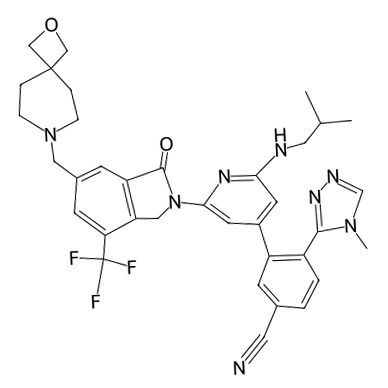 CC(C)CNc1cc(-c2cc(C#N)ccc2-c2nncn2C)cc(N2Cc3c(cc(CN4CCC5(CC4)COC5)cc3C(F)(F)F)C2=O)n1